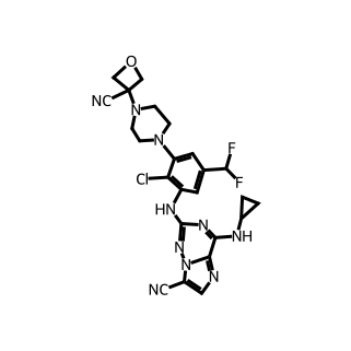 N#Cc1cnc2c(NC3CC3)nc(Nc3cc(C(F)F)cc(N4CCN(C5(C#N)COC5)CC4)c3Cl)nn12